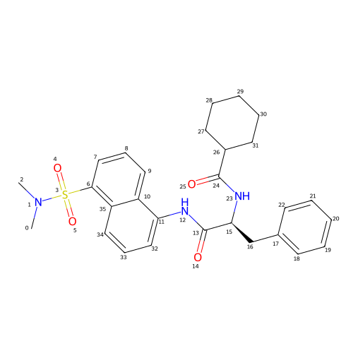 CN(C)S(=O)(=O)c1cccc2c(NC(=O)[C@H](Cc3ccccc3)NC(=O)C3CCCCC3)cccc12